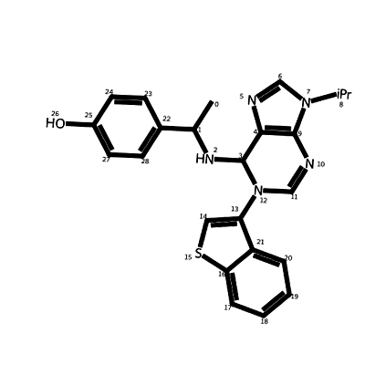 CC(NC1c2ncn(C(C)C)c2N=CN1c1csc2ccccc12)c1ccc(O)cc1